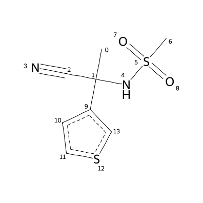 CC(C#N)(NS(C)(=O)=O)c1ccsc1